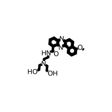 COc1cccc2c1ccc1nc3cccc(C(=O)NCCN(CCO)CCO)c3nc12